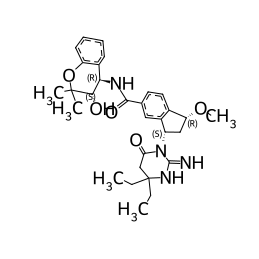 CCC1(CC)CC(=O)N([C@H]2C[C@@H](OC)c3ccc(C(=O)N[C@@H]4c5ccccc5OC(C)(C)[C@H]4O)cc32)C(=N)N1